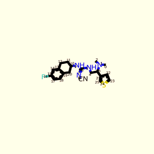 CN(C)C(CNC(=NC#N)NC1CCc2cc(F)ccc2C1)c1ccsc1